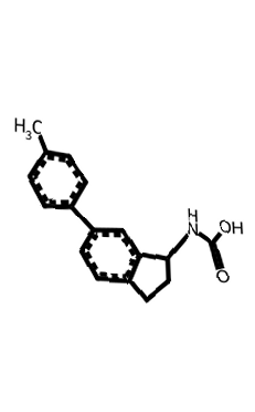 Cc1ccc(-c2ccc3c(c2)C(NC(=O)O)CC3)cc1